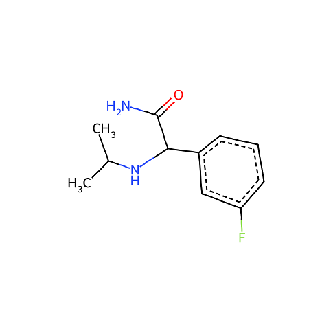 CC(C)NC(C(N)=O)c1cccc(F)c1